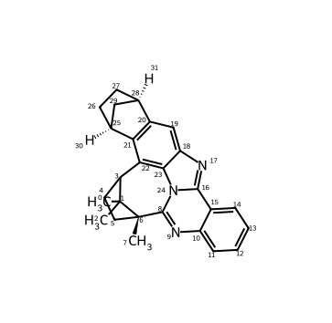 CC1(C)C2CC[C@@]1(C)c1nc3ccccc3c3nc4cc5c(c2c4n13)[C@H]1CC[C@@H]5C1